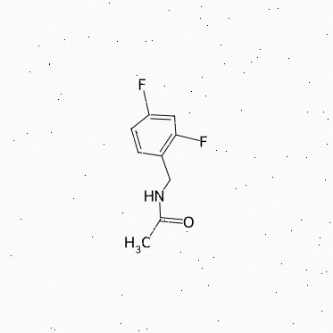 CC(=O)NCc1ccc(F)cc1F